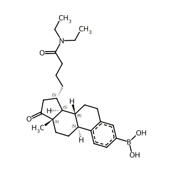 CCN(CC)C(=O)CCC[C@H]1CC(=O)[C@@]2(C)CC[C@@H]3c4ccc(B(O)O)cc4CC[C@H]3[C@H]12